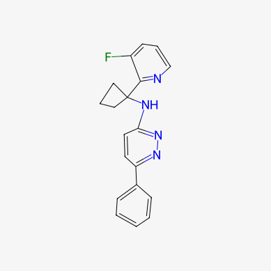 Fc1cccnc1C1(Nc2ccc(-c3ccccc3)nn2)CCC1